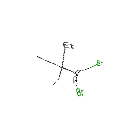 CCC(C)(C)[SiH](Br)Br